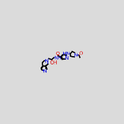 CC(=O)N1CCC(Nc2cc(C(=O)NCC(O)CN3CCc4ccncc4C3)ccn2)CC1